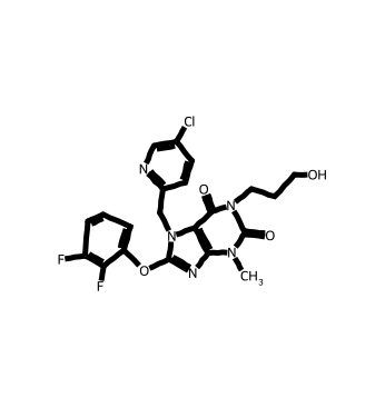 Cn1c(=O)n(CCCO)c(=O)c2c1nc(Oc1cccc(F)c1F)n2Cc1ccc(Cl)cn1